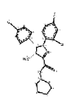 C[C@H]1C(C(=S)NN2CCCCC2)=NN(c2ccc(Cl)cc2Cl)[C@H]1c1ccc(Br)cc1